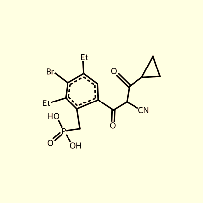 CCc1cc(C(=O)C(C#N)C(=O)C2CC2)c(CP(=O)(O)O)c(CC)c1Br